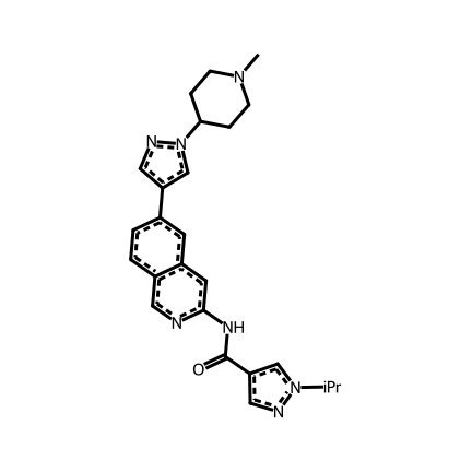 CC(C)n1cc(C(=O)Nc2cc3cc(-c4cnn(C5CCN(C)CC5)c4)ccc3cn2)cn1